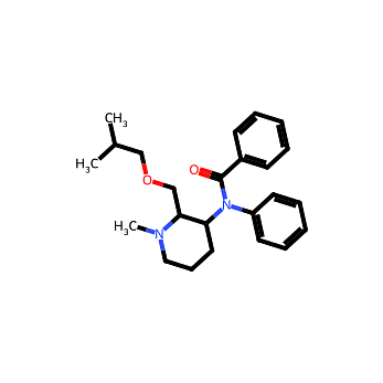 CC(C)COCC1C(N(C(=O)c2ccccc2)c2ccccc2)CCCN1C